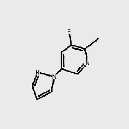 Cc1ncc(-n2cc[c]n2)cc1F